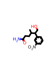 CC(CCC(N)=O)C(CO)c1cccc([N+](=O)[O-])c1